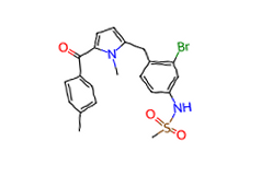 Cc1ccc(C(=O)c2ccc(Cc3ccc(NS(C)(=O)=O)cc3Br)n2C)cc1